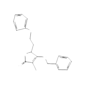 CC1=C(OCc2ccccc2)C(CCOc2ccccc2)OC1=O